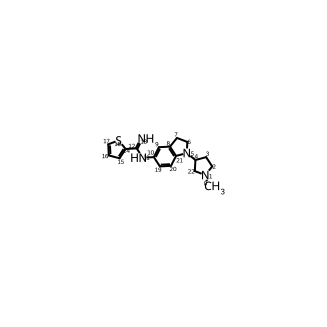 CN1CCC(N2CCc3cc(NC(=N)c4cccs4)ccc32)C1